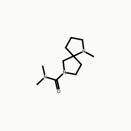 CN(C)C(=O)N1CCC2(CCCN2C)C1